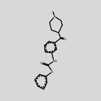 CN1CCC(C(=O)c2cccc(NC(=O)Oc3ccccc3)c2)CC1